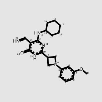 COc1cccc(N2CC(c3nc(NC4CCCCC4)c(C=N)c(=O)[nH]3)C2)c1